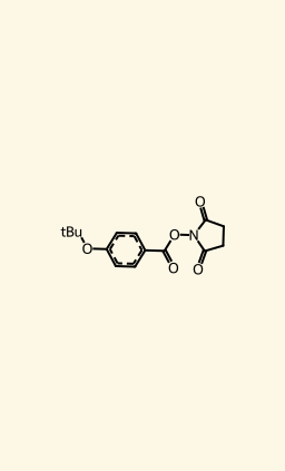 CC(C)(C)Oc1ccc(C(=O)ON2C(=O)CCC2=O)cc1